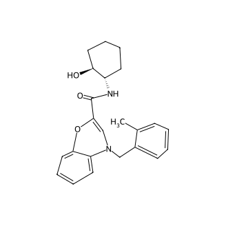 Cc1ccccc1CN1C=C(C(=O)N[C@H]2CCCC[C@@H]2O)Oc2ccccc21